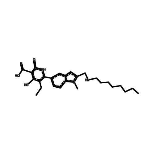 CCCCCCCCNCc1cc2cc(-c3[nH]c(=O)c(C(=O)O)c(O)c3CC)ccc2n1C